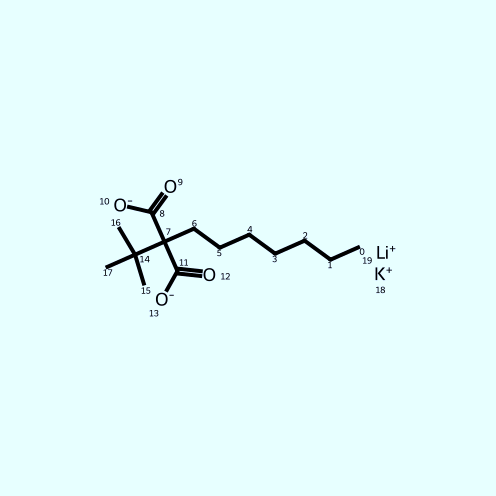 CCCCCCCC(C(=O)[O-])(C(=O)[O-])C(C)(C)C.[K+].[Li+]